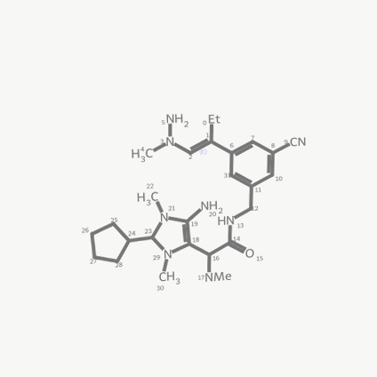 CC/C(=C\N(C)N)c1cc(C#N)cc(CNC(=O)C(NC)C2=C(N)N(C)C(C3CCCC3)N2C)c1